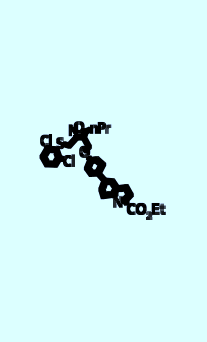 CCCc1onc(CSc2c(Cl)cccc2Cl)c1COc1ccc(-c2ccc3nc(C(=O)OCC)ccc3c2)cc1